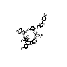 Cc1c(Cl)c2c(Cl)c(C)c1-c1c(-c3ccc(F)cc3)sc3ncnc(c13)O[C@@H](C(=O)O)Cc1cc(ccc1OCc1ccnc(C3CCC(F)(F)CC3)n1)OC[C@@H](CN1CCN(C)CC1)O2